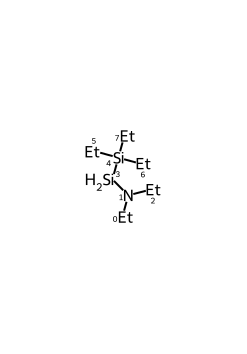 CCN(CC)[SiH2][Si](CC)(CC)CC